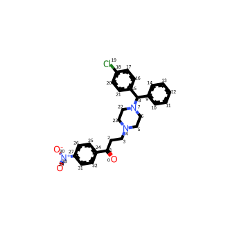 O=C(CCN1CCN(C(c2ccccc2)c2ccc(Cl)cc2)CC1)c1ccc([N+](=O)[O-])cc1